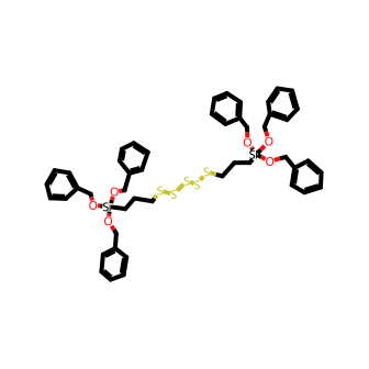 c1ccc(CO[Si](CCCSSSSSCCC[Si](OCc2ccccc2)(OCc2ccccc2)OCc2ccccc2)(OCc2ccccc2)OCc2ccccc2)cc1